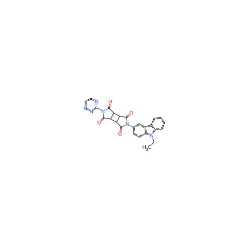 CCn1c2ccccc2c2cc(N3C(=O)C4C(C3=O)C3C(=O)N(c5nccnn5)C(=O)C43)ccc21